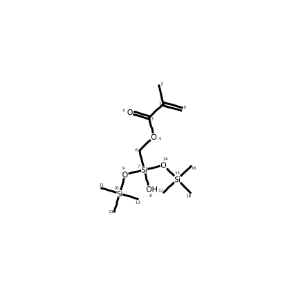 C=C(C)C(=O)OC[Si](O)(O[Si](C)(C)C)O[Si](C)(C)C